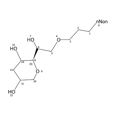 CCCCCCCCCCCCOCC(O)[C@H]1OCC(O)CC1O